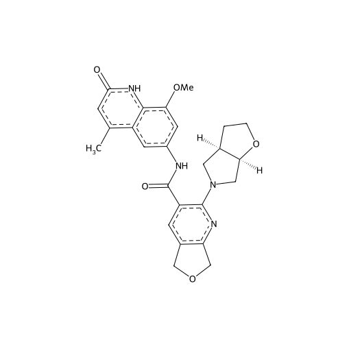 COc1cc(NC(=O)c2cc3c(nc2N2C[C@H]4CCO[C@H]4C2)COC3)cc2c(C)cc(=O)[nH]c12